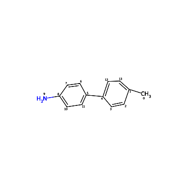 Cc1ccc(-c2ccc(N)cc2)cc1